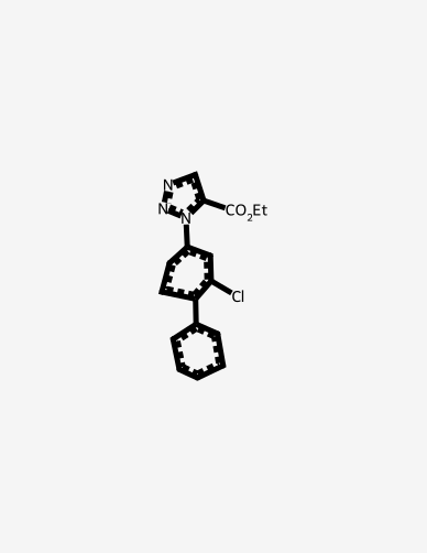 CCOC(=O)c1cnnn1-c1ccc(-c2ccccc2)c(Cl)c1